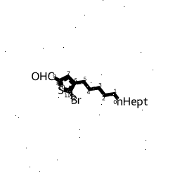 CCCCCCCCCCCCc1cc(C=O)sc1Br